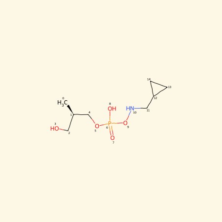 C[C@H](CO)COP(=O)(O)ONCC1CC1